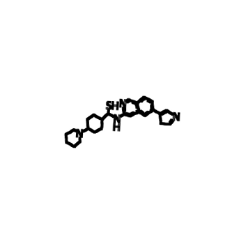 SC(Nc1cc2cc(C3=CN=CC3)ccc2cn1)C1CCC(N2CCCCC2)CC1